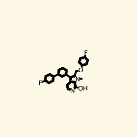 Cn1c(COc2ccc(F)cc2)c(-c2cccc(-c3ccc(F)cc3)c2)c2ccnc(O)c21